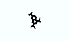 CC(C)c1[c]cc2c(C(C)C)cc(C(C)C)cc2c1